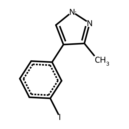 CC1=N[N]C=C1c1cccc(I)c1